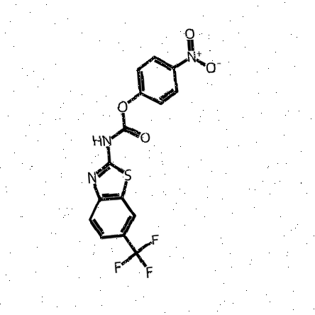 O=C(Nc1nc2ccc(C(F)(F)F)cc2s1)Oc1ccc([N+](=O)[O-])cc1